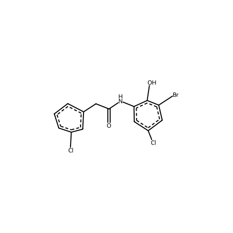 O=C(Cc1cccc(Cl)c1)Nc1cc(Cl)cc(Br)c1O